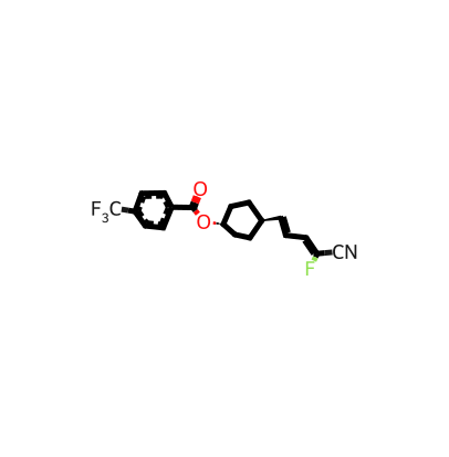 N#CC(F)=CC=C[C@H]1CC[C@H](OC(=O)c2ccc(C(F)(F)F)cc2)CC1